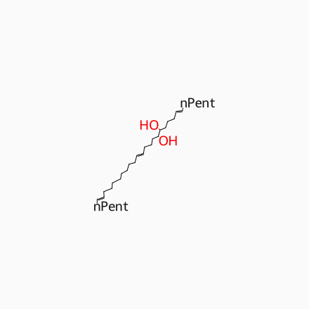 CCCCCC=CCCCCCCCCC=CCCCC(O)C(O)CCCC=CCCCCC